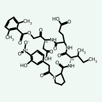 CCC(C)[C@H](NC(=O)C1CCCN1C(=O)Cc1ccc([N+](=O)[O-])c(O)c1)C(=O)NC(CCC(=O)O)C(=O)N[C@@H](CC(=O)O)C(=O)COC(=O)c1c(C)cccc1C